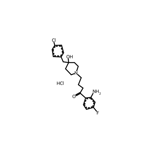 Cl.Nc1cc(F)ccc1C(=O)CCCN1CCC(O)(Cc2ccc(Cl)cc2)CC1